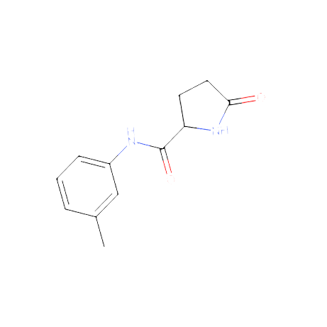 Cc1cccc(NC(=O)C2CCC(=O)N2)c1